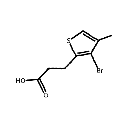 Cc1csc(CCC(=O)O)c1Br